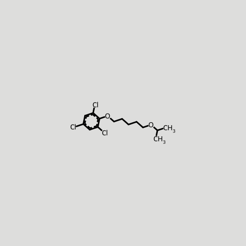 CC(C)OCCCCCOc1c(Cl)cc(Cl)cc1Cl